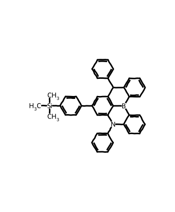 C[Si](C)(C)c1ccc(-c2cc3c4c(c2)N(c2ccccc2)c2ccccc2B4c2ccccc2C3c2ccccc2)cc1